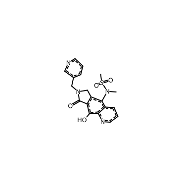 CN(c1c2c(c(O)c3ncccc13)C(=O)N(Cc1cccnc1)C2)S(C)(=O)=O